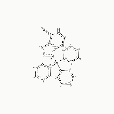 O=c1[nH]cnc2c1ncn2C(c1ccccc1)(c1ccccc1)c1ccccc1